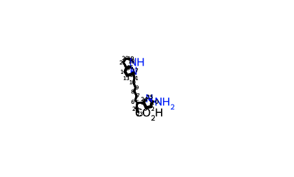 Nc1ccc([C@H](CCCCCCc2ccc3c(n2)NCCC3)CC(=O)O)cn1